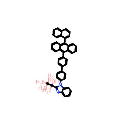 BC(B)(B)C(B)(B)c1nc2ccccc2n1-c1ccc(-c2ccc(-c3c4ccccc4c(-c4cccc5ccccc45)c4ccccc34)cc2)cc1